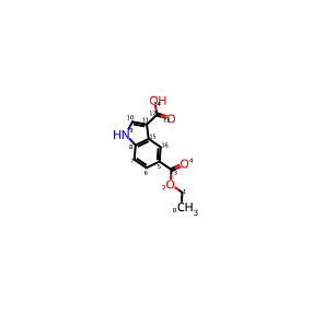 CCOC(=O)c1ccc2[nH]cc(C(=O)O)c2c1